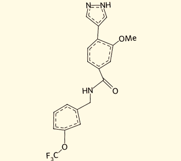 COc1cc(C(=O)NCc2cccc(OC(F)(F)F)c2)ccc1-c1cn[nH]c1